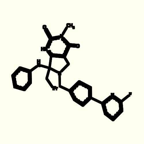 CC(C)CC1(Nc2ccccc2)c2[nH]c(=O)n(C)c(=O)c2CN1Cc1ccc(-c2cccc(F)n2)cc1